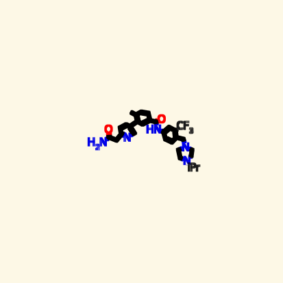 Cc1ccc(C(=O)Nc2ccc(CN3CCN(C(C)C)CC3)c(C(F)(F)F)c2)cc1-c1ccc(CC(N)=O)nc1